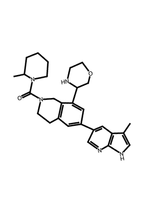 Cc1c[nH]c2ncc(-c3cc4c(c(C5COCCN5)c3)CN(C(=O)N3CCCCC3C)CC4)cc12